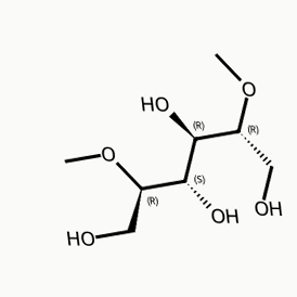 CO[C@H](CO)[C@H](O)[C@H](O)[C@@H](CO)OC